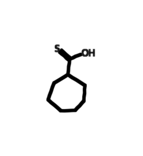 OC(=S)C1CCCCCC1